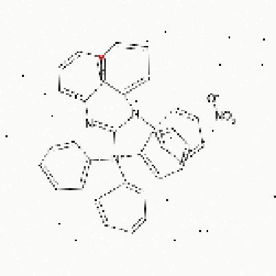 O=[N+]([O-])[O-].c1ccc(N=C(N(c2ccccc2)c2ccccc2)[N+](c2ccccc2)(c2ccccc2)c2ccccc2)cc1